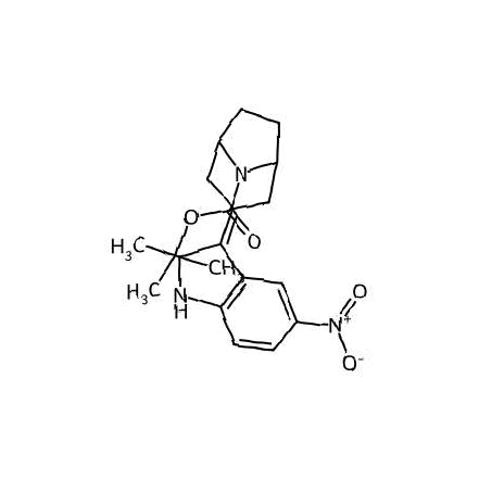 CC(C)(C)OC(=O)N1C2CCC1CC(=C1CNc3ccc([N+](=O)[O-])cc31)C2